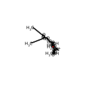 BP(=O)(OC[C@H]1O[C@@H](n2cc(C)c(=O)[nH]c2=O)C[C@H]1N=[N+]=[N-])OP(=O)(O)C(F)(F)P(=O)(O)OCCOC(=O)CCC(=O)OCC(COC(=O)CCCCCCCCCCCCCCC)OC(=O)CCCCCCCCCCCCCCC